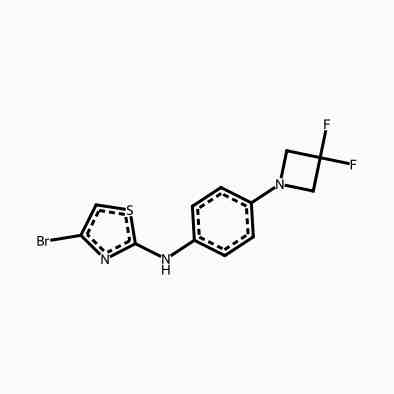 FC1(F)CN(c2ccc(Nc3nc(Br)cs3)cc2)C1